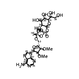 COC1[C@@H](COP(O)(=S)OP(=O)(O)O[C@@H]2OC([C@H](O)CO)[C@@H](O)[C@H](O)C2O)O[C@@H](n2cnc3c(N)ncnc32)[C@H]1OC